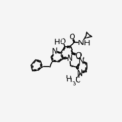 Cn1ccnc1Cn1c(=O)c(C(=O)NC2CC2)c(O)c2ncc(Cc3ccccc3)cc21